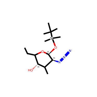 CCC1O[C@@H](O[Si](C)(C)C(C)(C)C)[C@@H](N=[N+]=[N-])C(C)[C@@H]1O